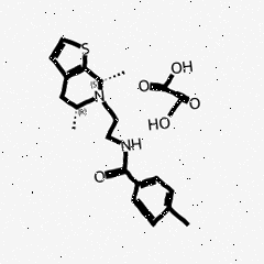 Cc1ccc(C(=O)NCCN2[C@H](C)Cc3ccsc3[C@@H]2C)cc1.O=C(O)C(=O)O